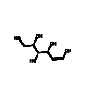 O/C=C\[C@@H](O)[C@H](O)[C@H](O)CO